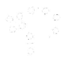 COc1ccc(Sc2ccc(Oc3ccc(S(=O)(=O)c4ccc(Oc5ccc(C6(c7ccc(Oc8ccc(S(=O)(=O)c9ccc(C)cc9)cc8)cc7)c7ccccc7-c7ccccc76)cc5)cc4)cc3)cc2)cc1